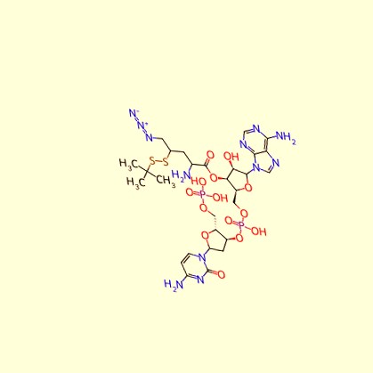 CC(C)(C)SSC(CN=[N+]=[N-])CC(N)C(=O)O[C@@H]1[C@H](COP(=O)(O)O[C@H]2CC(n3ccc(N)nc3=O)O[C@@H]2COP(=O)(O)O)OC(n2cnc3c(N)ncnc32)[C@@H]1O